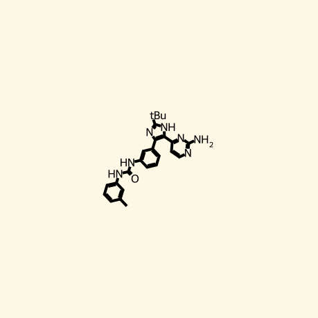 Cc1cccc(NC(=O)Nc2cccc(-c3nc(C(C)(C)C)[nH]c3-c3ccnc(N)n3)c2)c1